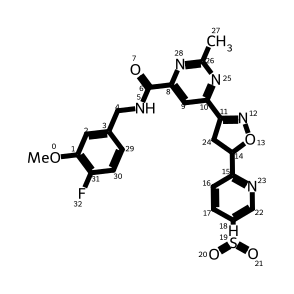 COc1cc(CNC(=O)c2cc(C3=NOC(c4ccc([SH](=O)=O)cn4)C3)nc(C)n2)ccc1F